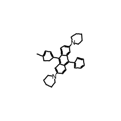 CC1=CC=C(c2c3cc(N4CCCCC4)ccc3c(-c3ccccc3)c3cc(N4CCCCC4)ccc23)CC1